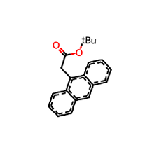 CC(C)(C)OC(=O)Cc1c2ccccc2cc2ccccc12